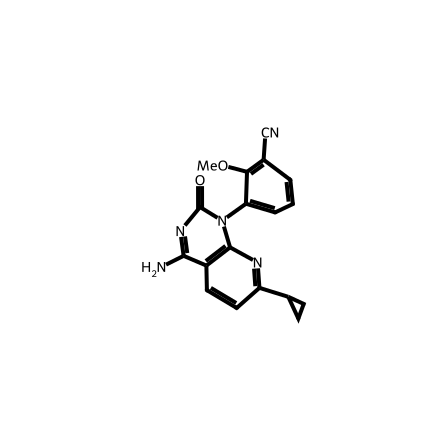 COc1c(C#N)cccc1-n1c(=O)nc(N)c2ccc(C3CC3)nc21